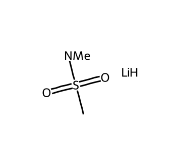 CNS(C)(=O)=O.[LiH]